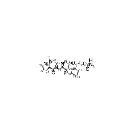 CNC(=O)OCCC(Oc1cnc(CN2CCN(C)c3ncccc3C2=O)c(F)c1)c1ccccc1